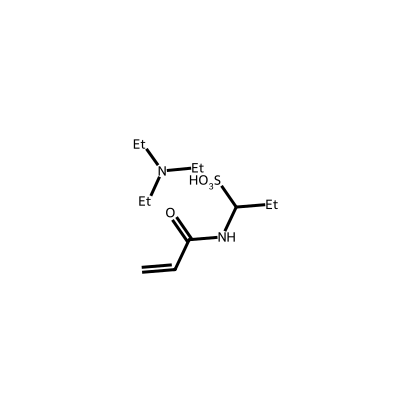 C=CC(=O)NC(CC)S(=O)(=O)O.CCN(CC)CC